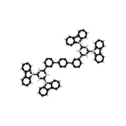 c1cc(-c2ccc(-c3cccc(-c4nc(-n5c6ccccc6c6ccccc65)nc(-n5c6ccccc6c6ccccc65)n4)c3)cc2)cc(-c2nc(-n3c4ccccc4c4ccccc43)nc(-n3c4ccccc4c4ccccc43)n2)c1